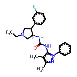 Cc1nn(-c2ccccc2)c(NC(=O)N[C@H]2CN(CC(F)(F)F)CC2c2cccc(F)c2)c1C